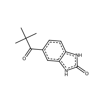 CC(C)(C)C(=O)c1ccc2[nH]c(=O)[nH]c2c1